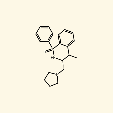 CC1c2ccccc2P(=O)(c2ccccc2)N[C@H]1CN1CCCC1